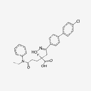 CCN(C(=O)CCC(F)(CC(=NO)c1ccc(-c2ccc(Cl)cc2)cc1)C(=O)O)c1ccccc1